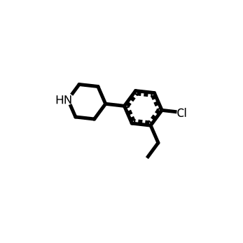 CCc1cc(C2CCNCC2)ccc1Cl